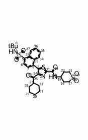 CC(C)(C)NS(=O)(=O)c1ccc(-c2sc(C(=O)NC3CCS(=O)(=O)CC3)nc2C(=O)C2CCCCC2)c2ccccc12